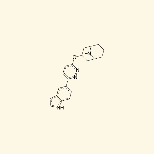 CN1C2CCCC1CC(Oc1ccc(-c3ccc4[nH]ccc4c3)nn1)C2